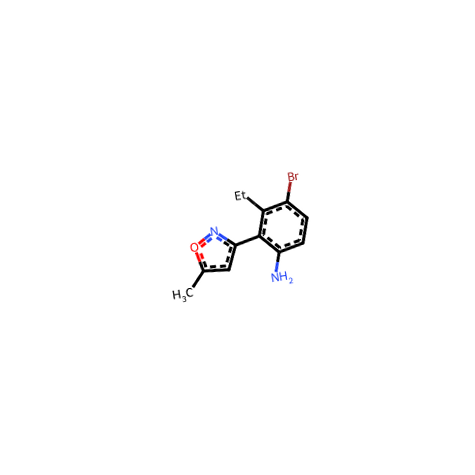 CCc1c(Br)ccc(N)c1-c1cc(C)on1